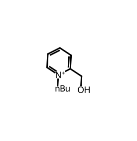 CCCC[n+]1ccccc1CO